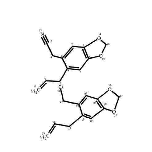 C=CCc1cc2c(cc1CC#N)OCO2.C=CCc1cc2c(cc1CCl)OCO2